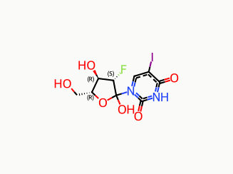 O=c1[nH]c(=O)n(C2(O)O[C@H](CO)[C@@H](O)[C@@H]2F)cc1I